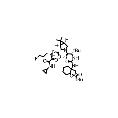 CC(C)(C)[C@H](NC(=O)NC1(CS(=O)(=O)C(C)(C)C)CCCCC1)C(=O)N1C[C@H]2[C@@H]([C@H]1C(=O)N[C@@H](CCCF)C(=O)C(=O)NC1CC1)C2(C)C